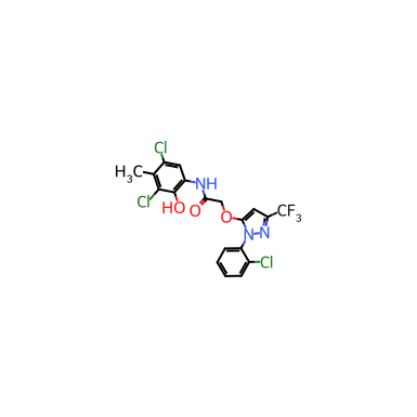 Cc1c(Cl)cc(NC(=O)COc2cc(C(F)(F)F)nn2-c2ccccc2Cl)c(O)c1Cl